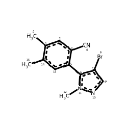 Cc1cc(C#N)c(-c2c(Br)cnn2C)cc1C